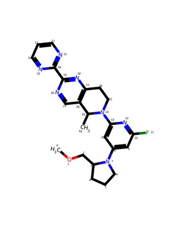 COCC1CCCN1c1cc(F)nc(N2CCc3nc(-c4ncccn4)ncc3C2C)c1